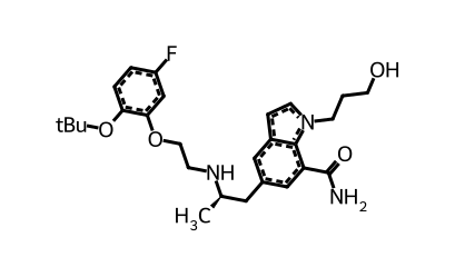 C[C@H](Cc1cc(C(N)=O)c2c(ccn2CCCO)c1)NCCOc1cc(F)ccc1OC(C)(C)C